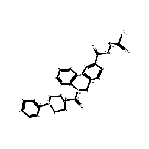 O=C(NNC(=O)C(F)(F)F)c1ccc(CN(C(=O)N2CCN(c3ccccc3)CC2)c2ccccc2)cc1